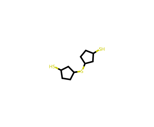 SC1CCC(SC2CCC(S)C2)C1